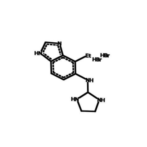 Br.Br.CCc1c(NC2NCCN2)ccc2[nH]cnc12